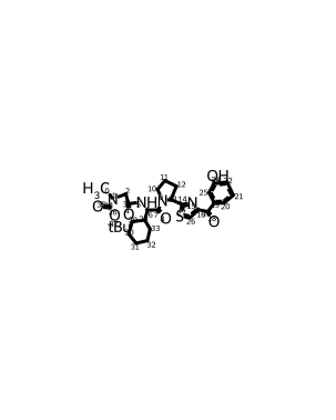 CN(CC(=O)NC(C(=O)N1CCCC1c1nc(C(=O)c2cccc(O)c2)cs1)C1CCCCC1)C(=O)OC(C)(C)C